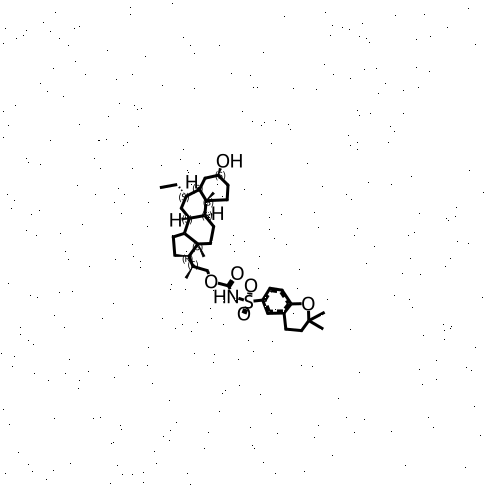 CC[C@H]1C[C@H]2C3CC[C@H]([C@H](C)COC(=O)NS(=O)(=O)c4ccc5c(c4)CCC(C)(C)O5)[C@@]3(C)CC[C@@H]2[C@@]2(C)CC[C@H](O)C[C@@H]12